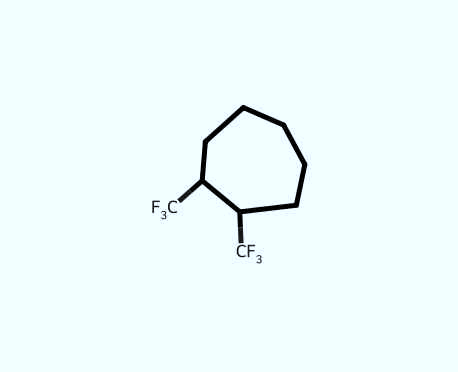 FC(F)(F)C1CCCCCC1C(F)(F)F